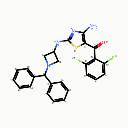 Nc1nc(NC2CN(C(c3ccccc3)c3ccccc3)C2)sc1C(=O)c1c(F)cccc1F